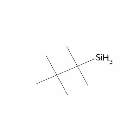 CC(C)(C)C(C)(C)[SiH3]